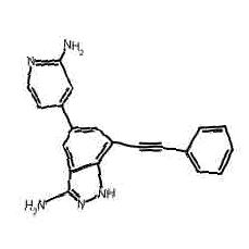 Nc1cc(-c2cc(C#Cc3ccccc3)c3[nH]nc(N)c3c2)ccn1